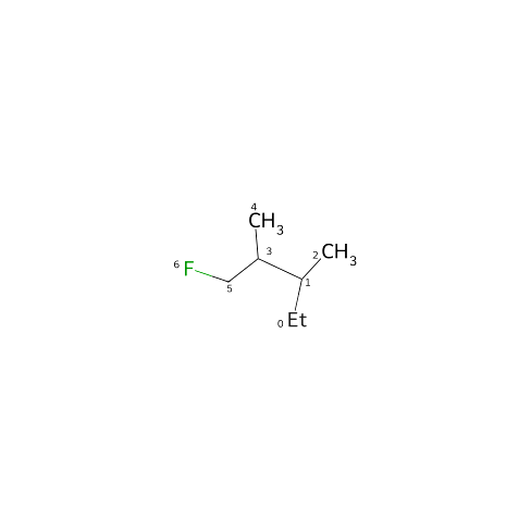 CCC(C)C(C)CF